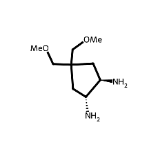 COCC1(COC)C[C@@H](N)[C@H](N)C1